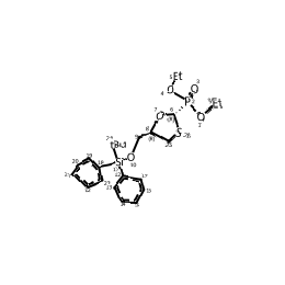 CCOP(=O)(OCC)[C@H]1O[C@H](CO[Si](c2ccccc2)(c2ccccc2)C(C)(C)C)CS1